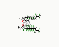 C[Si](C)(OC([SiH3])O[Si](C)(C)C(F)C(F)(F)C(F)(F)C(F)(F)C(F)(F)C(F)C(F)C(F)F)C(F)C(F)(F)C(F)(F)C(F)(F)C(F)(F)C(F)C(F)C(F)F